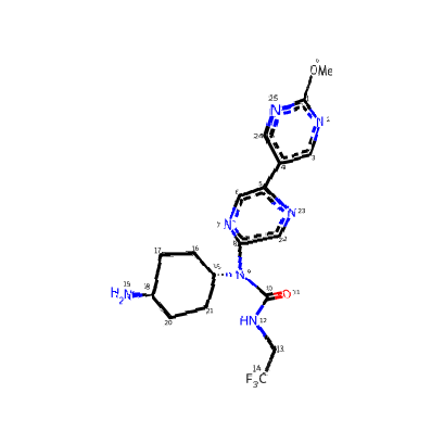 COc1ncc(-c2cnc(N(C(=O)NCC(F)(F)F)[C@H]3CC[C@H](N)CC3)cn2)cn1